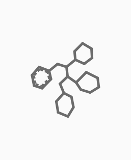 c1ccc(CC(C2CCCCC2)C(CC2CCCCC2)C2CCCCC2)cc1